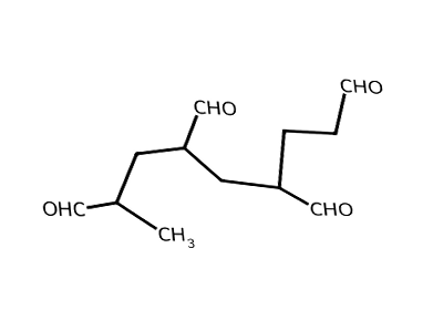 CC(C=O)CC(C=O)CC(C=O)CCC=O